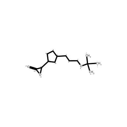 CC(C)(C)OC[CH]CC1C[CH]C(C2OC2=O)C1